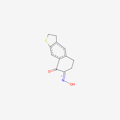 O=C1/C(=N/O)CCc2cc3c(cc21)SCC3